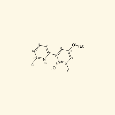 CCOc1cc(C)[n+]([O-])c(-c2cccc(C)n2)c1